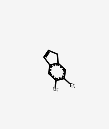 CCc1cc2c(cc1Br)C=CC2